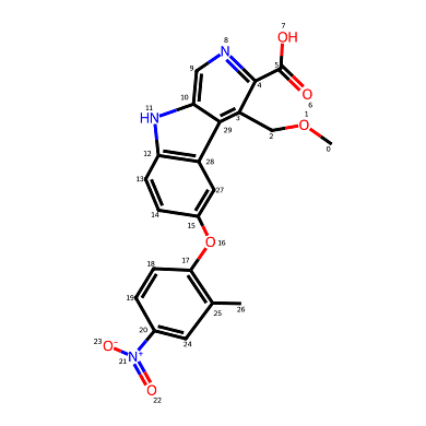 COCc1c(C(=O)O)ncc2[nH]c3ccc(Oc4ccc([N+](=O)[O-])cc4C)cc3c12